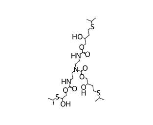 CC(C)SCCC(O)COC(=O)NCCN(CCNC(=O)OCC(O)SC(C)C)C(=O)OCC(O)CCSC(C)C